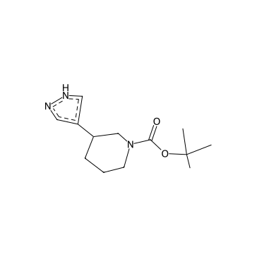 CC(C)(C)OC(=O)N1CCCC(c2cn[nH]c2)C1